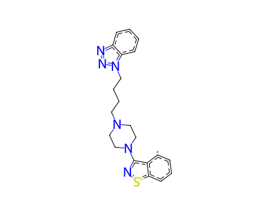 [c]1cccc2snc(N3CCN(CCCCn4nnc5ccccc54)CC3)c12